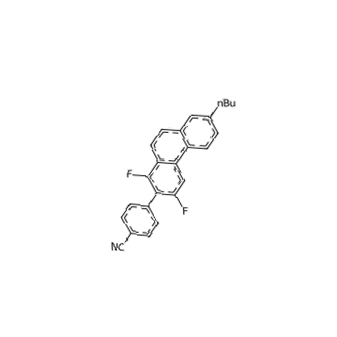 CCCCc1ccc2c(ccc3c(F)c(-c4ccc(C#N)cc4)c(F)cc32)c1